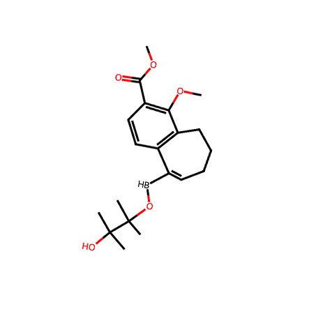 COC(=O)c1ccc2c(c1OC)CCCC=C2BOC(C)(C)C(C)(C)O